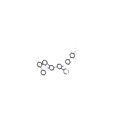 N#Cc1ccc(-c2ccc(-n3c4c(c5cc(-c6ccc7c(c6)c6ccccc6n7-c6ccccc6-c6ccccc6)ccc53)C=CCC4)cc2)cc1